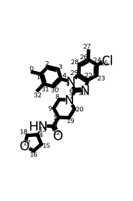 Cc1ccc(-n2c(N3CCC(C(=O)N[C@@H]4CCOC4)CC3)nc3cc(Cl)c(C)cc32)cc1C